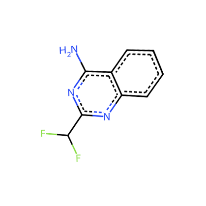 Nc1nc(C(F)F)nc2ccccc12